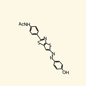 CC(=O)Nc1ccc(-c2nc3sc(N=Nc4ccc(O)cc4)cc3s2)cc1